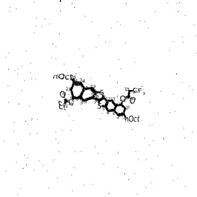 CCCCCCCCC1=Cc2cc3sc4c5c(sc4c3cc2C(OC(=O)CC(F)(F)F)C1)=CC1C=C(CCCCCCCC)CC(OC(=O)CC)C1C=5